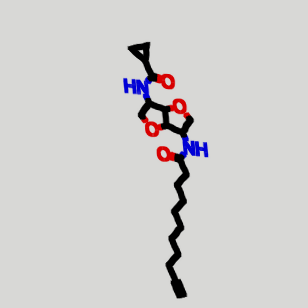 C#CCCCCCCCCC(=O)NC1COC2C(NC(=O)C3CC3)COC12